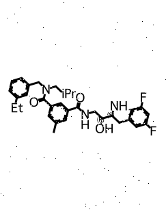 CCc1cccc(CN(CC(C)C)C(=O)c2cc(C)cc(C(=O)NC[C@@H](O)[C@@H](N)Cc3cc(F)cc(F)c3)c2)c1